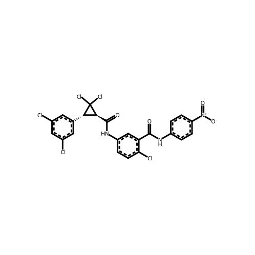 O=C(Nc1ccc([N+](=O)[O-])cc1)c1cc(NC(=O)[C@H]2[C@H](c3cc(Cl)cc(Cl)c3)C2(Cl)Cl)ccc1Cl